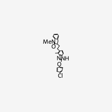 CNC(=O)C(CCc1ccc2[nH]c(COc3ccc(Cl)cc3)nc2c1C)Cc1ccccc1